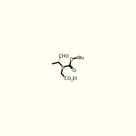 CCOC(=O)CN(C(=O)OC(C)(C)C)[C@H](C)C=O